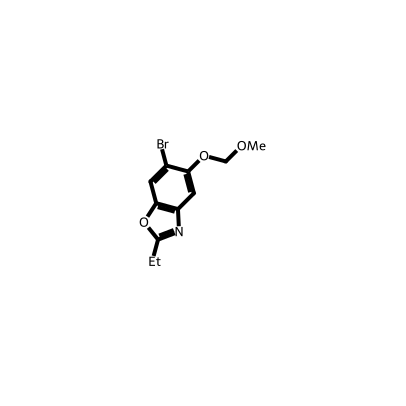 CCc1nc2cc(OCOC)c(Br)cc2o1